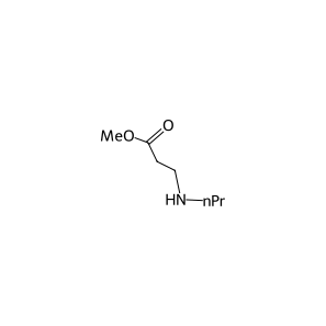 CCCNCCC(=O)OC